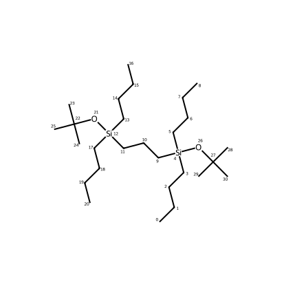 CCCC[Si](CCCC)(CCC[Si](CCCC)(CCCC)OC(C)(C)C)OC(C)(C)C